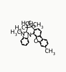 Cc1ccc2c(c1)oc1c3c(ccc12)C(C)(C)C(C)(C)C1N(C)c2ccccc2N31